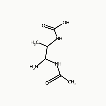 CC(=O)NC(N)C(C)NC(=O)O